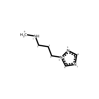 CNCCCn1cncn1